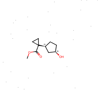 COC(=O)C1([C@H]2CC[C@@H](O)C2)CC1